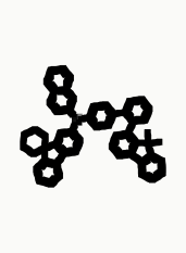 CC1(C)c2ccccc2-c2cccc(-c3ccccc3-c3ccc(N(c4ccc5c(c4)C4(CCCCC4)c4ccccc4-5)c4ccc5ccccc5c4)cc3)c21